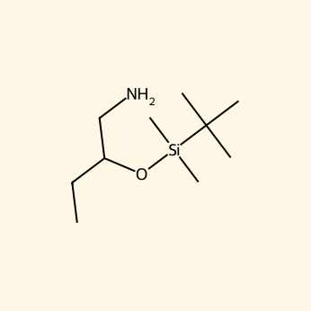 CCC(CN)O[Si](C)(C)C(C)(C)C